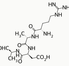 C[C@H](NC(=O)[C@@H](N)CCCNC(=N)N)C(=O)N[C@@H](CC(=O)O)C(=O)N[C@@H](C)[C]=O